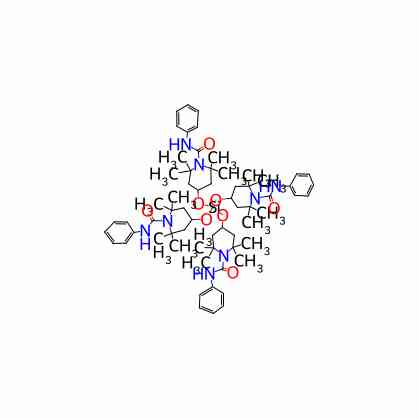 CC1(C)CC(O[Si](OC2CC(C)(C)N(C(=O)Nc3ccccc3)C(C)(C)C2)(OC2CC(C)(C)N(C(=O)Nc3ccccc3)C(C)(C)C2)OC2CC(C)(C)N(C(=O)Nc3ccccc3)C(C)(C)C2)CC(C)(C)N1C(=O)Nc1ccccc1